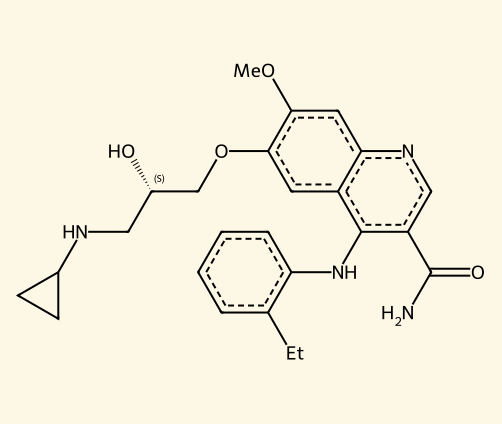 CCc1ccccc1Nc1c(C(N)=O)cnc2cc(OC)c(OC[C@@H](O)CNC3CC3)cc12